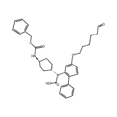 O=CCCCCCOc1ccc(-c2ccccc2)c(N(C(=O)O)[C@H]2CC[C@H](NC(=O)OCc3ccccc3)CC2)c1